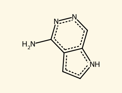 Nc1nncc2[nH]ccc12